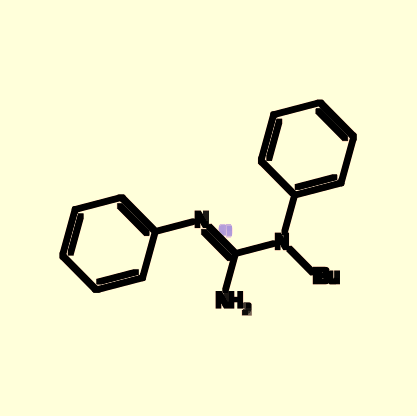 CCC(C)N(/C(N)=N/c1ccccc1)c1ccccc1